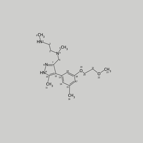 CNCCN(C)Cc1n[nH]c(C)c1-c1cc(C)cc(OCCOC)c1